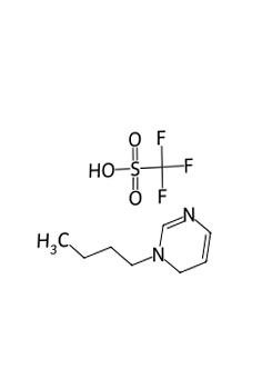 CCCCN1C=NC=CC1.O=S(=O)(O)C(F)(F)F